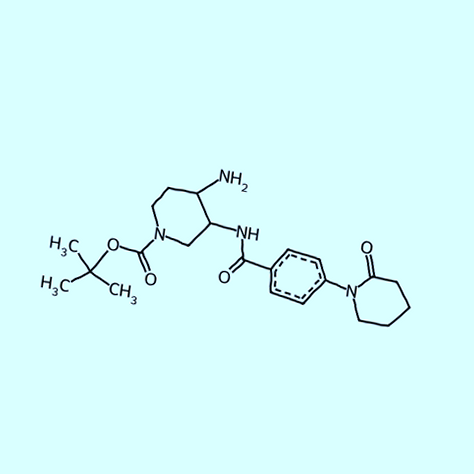 CC(C)(C)OC(=O)N1CCC(N)C(NC(=O)c2ccc(N3CCCCC3=O)cc2)C1